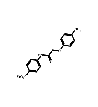 CCOC(=O)c1ccc(NC(=O)COc2ccc(N)cc2)cc1